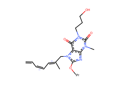 C=C/C=C\C=C(/C)Cn1c(OC(C)C)nc2c1c(=O)n(CCCO)c(=O)n2C